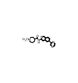 CN1CCCC(C(=O)Nc2cc3cc(-c4cnccn4)ccc3cn2)CC1